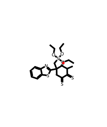 CCO[Si](CC1(c2nc3ccccc3s2)[CH]C(=S)C(=S)C(C)C1=S)(OCC)OCC